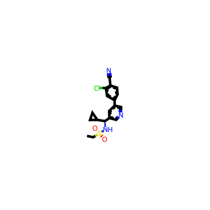 CCS(=O)(=O)N[C@H](c1cncc(-c2ccc(C#N)c(Cl)c2)c1)C1CC1